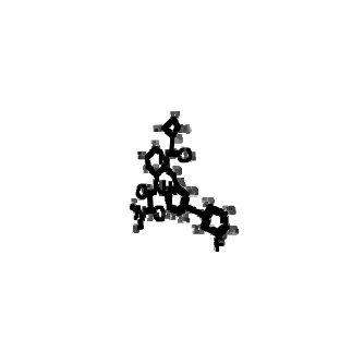 CN(C)C(=O)C(=O)NC1CCCN(C(=O)C2CCC2)C1Cc1cccc(-c2cccc(F)c2)c1